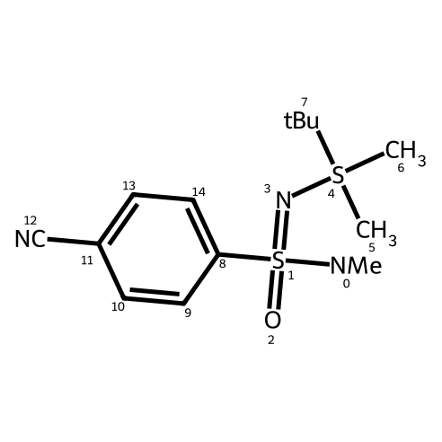 CNS(=O)(=NS(C)(C)C(C)(C)C)c1ccc(C#N)cc1